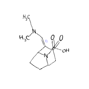 CN(C)/C=C1/C(=O)CC2CCC1N2C(=O)O